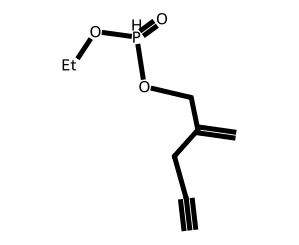 C#CCC(=C)CO[PH](=O)OCC